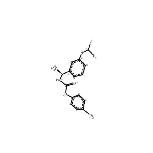 Cc1ccc(OC(=O)N[C@@H](C)c2cccc(OC(F)F)c2)cc1